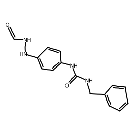 O=CNNc1ccc(NC(=O)NCc2ccccc2)cc1